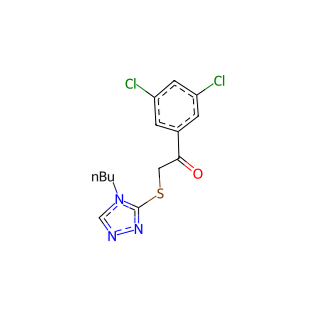 CCCCn1cnnc1SCC(=O)c1cc(Cl)cc(Cl)c1